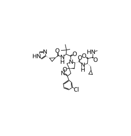 CNC(=O)C(=O)[C@H](CC1CC1)NC(=O)[C@@H]1C[C@]2(CC(c3cccc(Cl)c3)=NO2)CN1C(=O)[C@@H](NC(=O)[C@H]1C[C@@H]1c1c[nH]cn1)C(C)(C)C